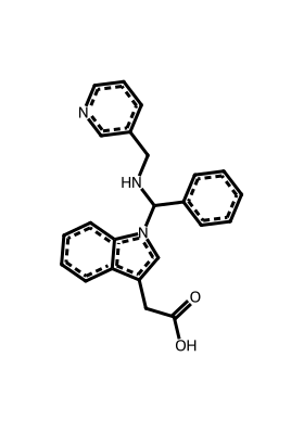 O=C(O)Cc1cn(C(NCc2cccnc2)c2ccccc2)c2ccccc12